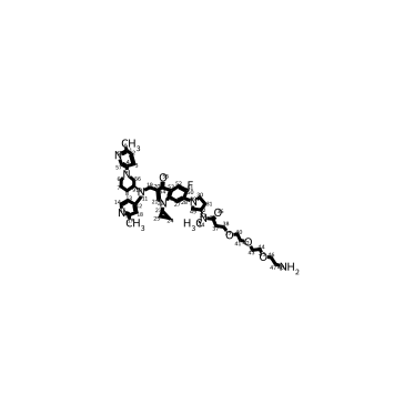 Cc1ccc(N2CCC[C@H](N(Cc3ccnc(C)c3)Cc3cn(C4CC4)c4cc(N5CC[C@@H](N(C)C(=O)CCOCCOCCOCCN)C5)c(F)cc4c3=O)C2)cn1